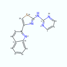 c1cnc(Nc2nc(-c3ccc4ccccc4n3)cs2)nc1